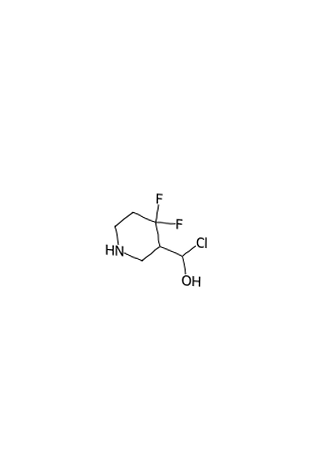 OC(Cl)C1CNCCC1(F)F